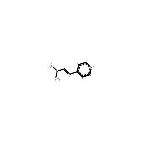 CN(C)/C=N/c1ccncc1